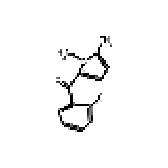 Cc1ccc(C(=O)c2ccccc2Cl)n1N